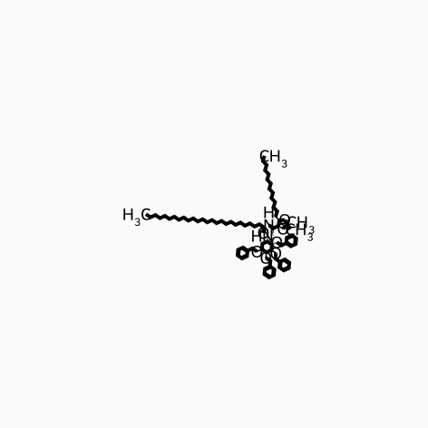 CCCCCCCCCCCCCCCCCCCCCCCCCC(=O)N[C@@H](CN[C@H]1C[C@H](OCc2ccccc2)[C@H](OCc2ccccc2)[C@H](OCc2ccccc2)[C@H]1OCc1ccccc1)[C@@H]1OC(C)(C)O[C@@H]1CCCCCCCCCCCCCC